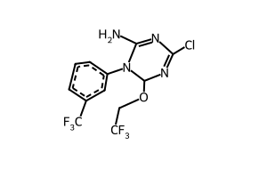 NC1=NC(Cl)=NC(OCC(F)(F)F)N1c1cccc(C(F)(F)F)c1